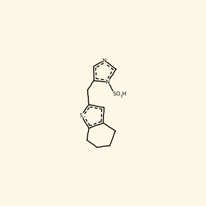 O=S(=O)(O)n1cncc1Cc1cc2c(s1)CCCC2